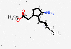 CC/C=C/CC1C(N)CCC1CC(=O)OC